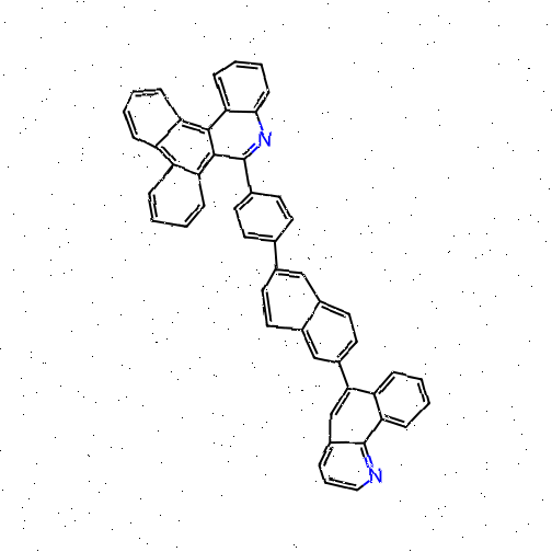 c1cnc2c(c1)cc(-c1ccc3cc(-c4ccc(-c5nc6ccccc6c6c7ccccc7c7ccccc7c56)cc4)ccc3c1)c1ccccc12